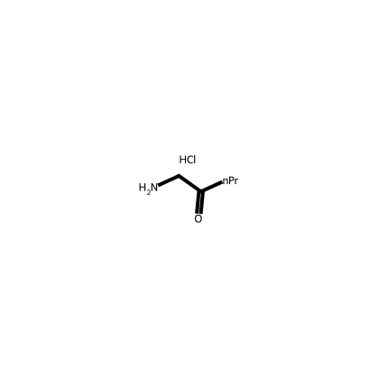 CCCC(=O)CN.Cl